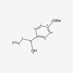 C=CCC(O)c1ccc(OC)cc1